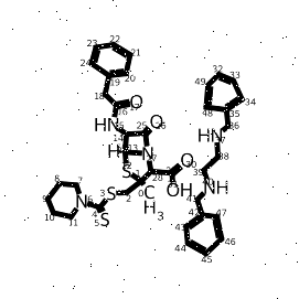 CC1(CSC(=S)N2CCCCC2)S[C@H]2C(NC(=O)Cc3ccccc3)C(=O)N2C1C(=O)O.c1ccc(CNCCNCc2ccccc2)cc1